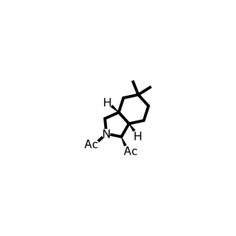 CC(=O)[C@@H]1[C@H]2CCC(C)(C)C[C@H]2CN1C(C)=O